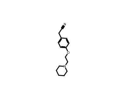 N#CCc1ccc(OCCN2CCCCC2)cc1